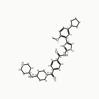 COc1ccc(C2CCCC2)cc1-c1csc(NC(=O)c2ccc(C(=O)N3CCC(NC4CCOCC4)CC3)cc2)n1